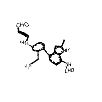 Cc1cc2c(-c3ccc(NC=CC=O)cc3CN)ccc(NC=O)c2[nH]1